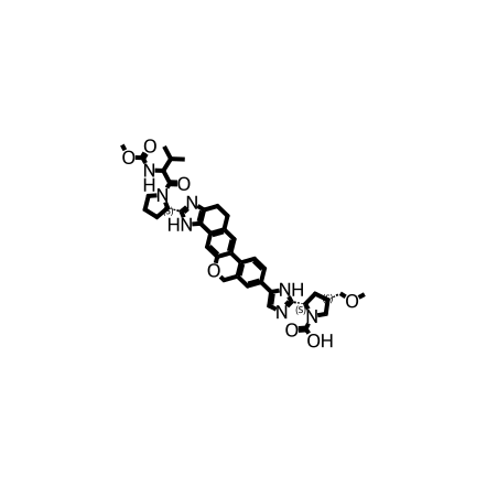 COC[C@H]1C[C@@H](c2ncc(-c3ccc4c(c3)COc3cc5c(cc3-4)CCc3nc([C@@H]4CCCN4C(=O)C(NC(=O)OC)C(C)C)[nH]c3-5)[nH]2)N(C(=O)O)C1